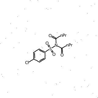 CCCC(=O)N(C(=O)CCC)S(=O)(=O)c1ccc(Cl)cc1